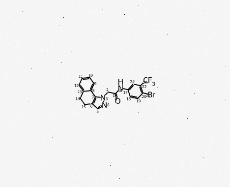 O=C(Cn1ncc2c1-c1ccccc1CC2)Nc1ccc(Br)c(C(F)(F)F)c1